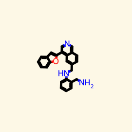 NCc1ccccc1NCc1ccc2cncc(-c3cc4ccccc4o3)c2c1